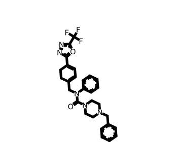 O=C(N1CCN(Cc2ccccc2)CC1)N(CC1=CC=C(c2nnc(C(F)(F)F)o2)CC1)c1ccccc1